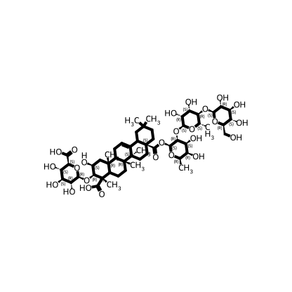 C[C@@H]1O[C@@H](O[C@H]2[C@H](OC(=O)[C@]34CCC(C)(C)CC3C3=CCC5[C@@]6(C)C[C@H](O)[C@H](O[C@@H]7O[C@H](C(=O)O)[C@@H](O)[C@H](O)[C@H]7O)[C@@](C)(C(=O)O)C6CC[C@@]5(C)[C@]3(C)CC4)O[C@H](C)[C@H](O)[C@@H]2O)[C@H](O)[C@H](O)[C@H]1O[C@@H]1O[C@H](CO)[C@@H](O)[C@H](O)[C@H]1O